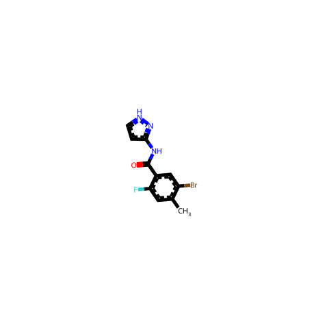 Cc1cc(F)c(C(=O)Nc2cc[nH]n2)cc1Br